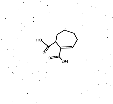 O=C(O)C1=CCCCCC1C(=O)O